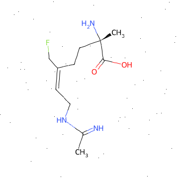 CC(=N)NC/C=C(/CF)CC[C@](C)(N)C(=O)O